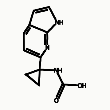 O=C(O)NC1(c2ccc3cc[nH]c3n2)CC1